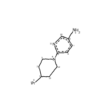 CC(C)C1CCN(c2ccc(N)cn2)CC1